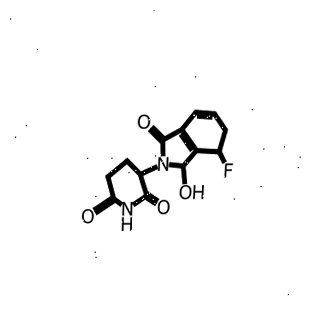 O=C1CCC(N2C(=O)C3=C(C(F)CC=C3)C2O)C(=O)N1